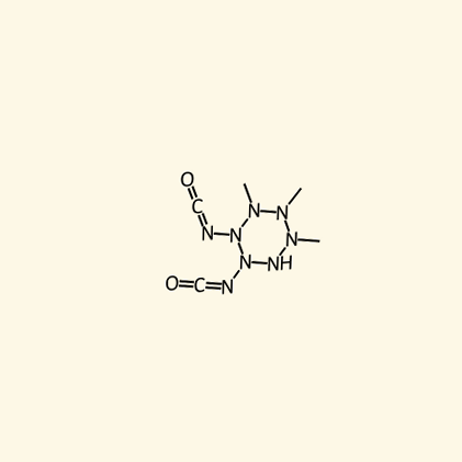 CN1NN(N=C=O)N(N=C=O)N(C)N1C